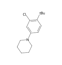 CC(C)(C)c1ccc(N2CCCCC2)cc1Cl